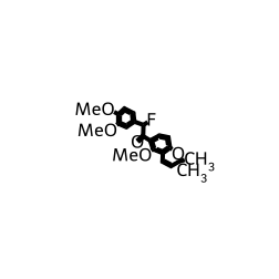 COc1ccc(C(F)C(=O)c2ccc3c(c2OC)C=CC(C)(C)O3)cc1OC